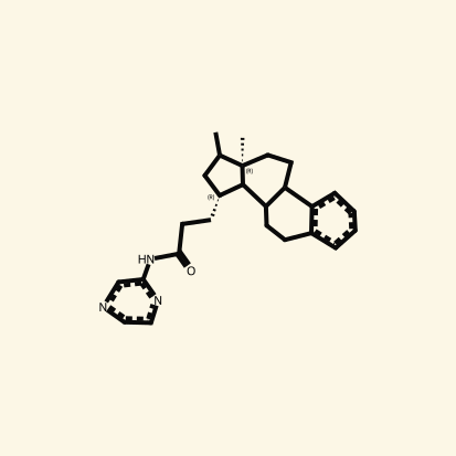 CC1C[C@@H](CCC(=O)Nc2cnccn2)C2C3CCc4ccccc4C3CC[C@]12C